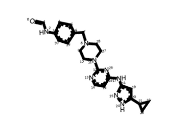 O=CNc1ccc(CN2CCN(c3nccc(Nc4cc(C5CC5)[nH]n4)n3)CC2)cc1